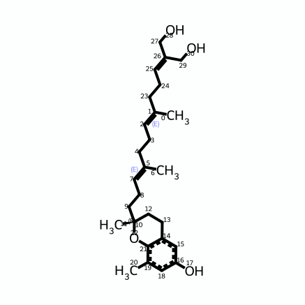 C/C(=C\CC/C(C)=C/CC[C@]1(C)CCc2cc(O)cc(C)c2O1)CCC=C(CO)CO